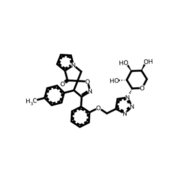 Cc1ccc(C2C(c3ccccc3OCc3cn([C@H]4OC[C@H](O)[C@H](O)[C@H]4O)nn3)=NOC23Cn2cccc2C3=O)cc1